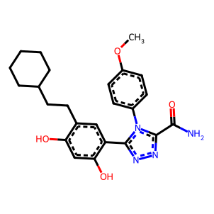 COc1ccc(-n2c(C(N)=O)nnc2-c2cc(CCC3CCCCC3)c(O)cc2O)cc1